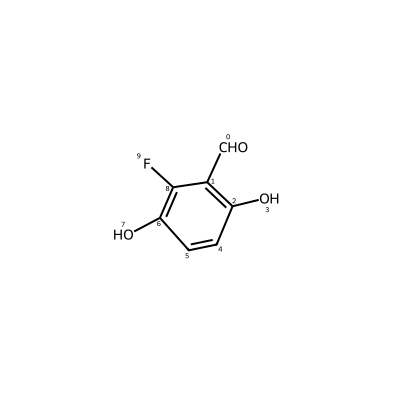 O=Cc1c(O)ccc(O)c1F